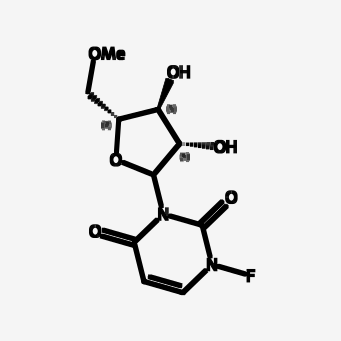 COC[C@H]1OC(n2c(=O)ccn(F)c2=O)[C@@H](O)[C@@H]1O